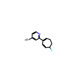 CCCc1ccnc(C2=CCCC(F)C=C2)c1